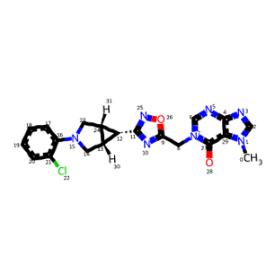 Cn1cnc2ncn(Cc3nc([C@@H]4[C@@H]5CN(c6ccccc6Cl)C[C@@H]54)no3)c(=O)c21